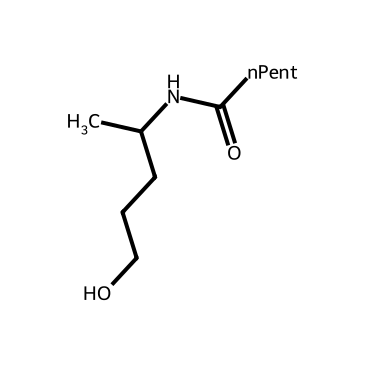 CCCCCC(=O)NC(C)CCCO